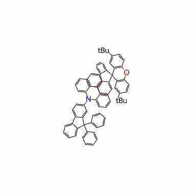 CC(C)(C)c1ccc2c(c1)C1(c3cc(C(C)(C)C)ccc3O2)c2ccccc2-c2c(-c3ccccc3N(c3ccc4c(c3)C(c3ccccc3)(c3ccccc3)c3ccccc3-4)c3ccccc3-c3ccccc3)cccc21